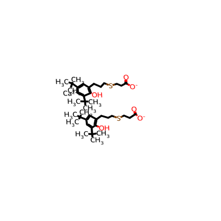 CC(C)(C)c1cc(CCCSCCC(=O)[O-])c(O)c(C(C)(C)C)c1.CC(C)(C)c1cc(CCCSCCC(=O)[O-])c(O)c(C(C)(C)C)c1.[Ca+2]